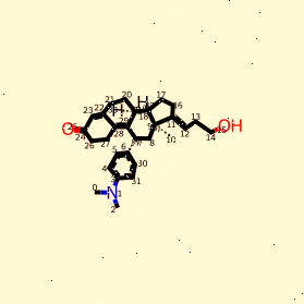 CN(C)c1ccc([C@H]2C[C@]3(C)C(=CCCO)CC[C@@H]3[C@@H]3CCC4=CC(=O)CCC4=C32)cc1